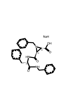 O=C(NCc1ccccc1)[C@H](Cc1ccccc1)NC(=O)[C@@H]1[C@@H](C(=O)O)N1Cc1ccccc1.[NaH]